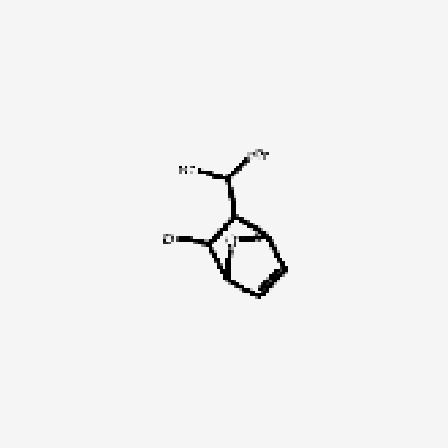 CCCC(C#N)C1C2C=CC(O2)C1CC